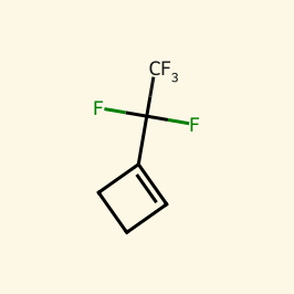 FC(F)(F)C(F)(F)C1=CCC1